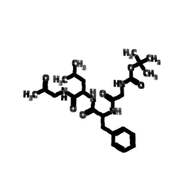 CC(=O)CNC(=O)C(CC(C)C)NC(=O)C(Cc1ccccc1)NC(=O)CNC(=O)OC(C)(C)C